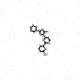 CCc1cccc(-c2nccc(-c3sc(-c4cccnc4)nc3C)n2)n1